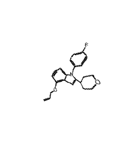 C=CCOc1cccc2c1cc(C1CCOCC1)n2-c1ccc(F)cc1